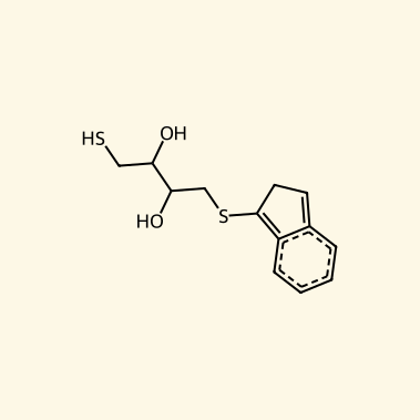 OC(CS)C(O)CSC1=c2ccccc2=CC1